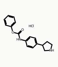 Cl.O=C(Nc1ccc(C2CCNC2)cc1)Oc1ccccc1